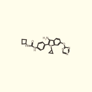 Nc1c(-c2ccc(NC(=O)NC3CCC3)cc2)n(C2CC2)c2cc(Oc3ncncn3)ccc12